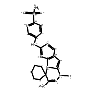 CCN1N=C(OC)C2(CCCCC2)n2c1cc1cnc(Nc3ccc(S(N)(=O)=O)nc3)nc12